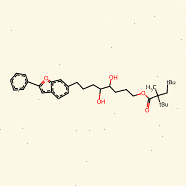 CC(C)(C)CC(C)(C(=O)OCCCC(O)C(O)CCCc1ccc2cc(-c3ccccc3)oc2c1)C(C)(C)C